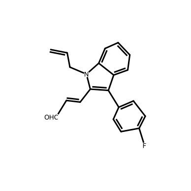 C=CCn1c(C=CC=O)c(-c2ccc(F)cc2)c2ccccc21